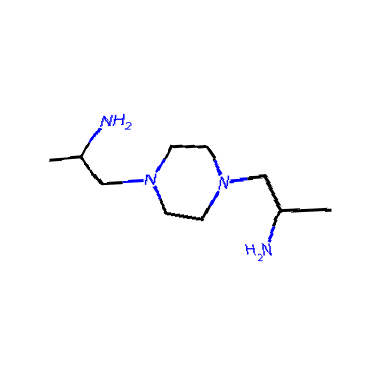 CC(N)CN1CCN(CC(C)N)CC1